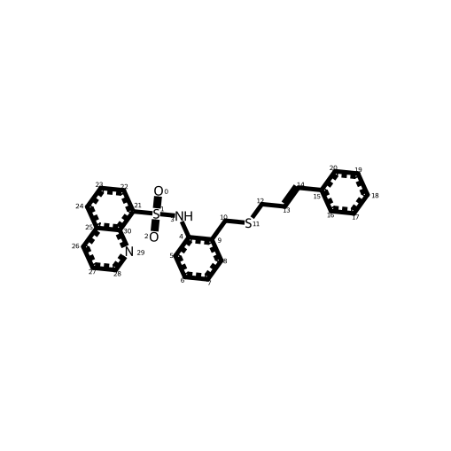 O=S(=O)(Nc1ccccc1CSCC=Cc1ccccc1)c1cccc2cccnc12